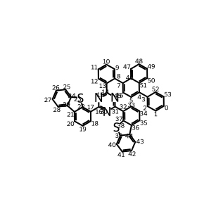 c1ccc(-c2ccc(-c3ccccc3-c3nc(-c4cccc5c4sc4ccccc45)nc(-c4cccc5c4sc4ccccc45)n3)c3ccccc23)cc1